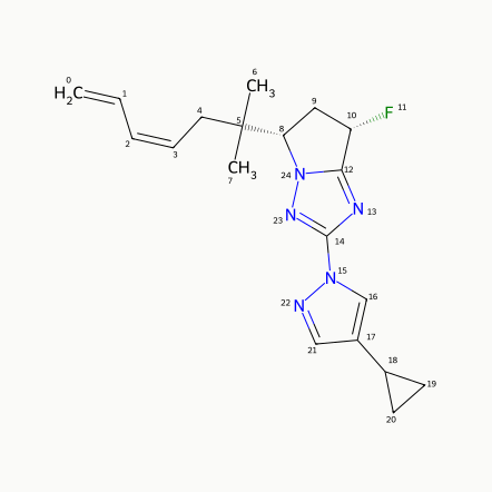 C=C/C=C\CC(C)(C)[C@@H]1C[C@H](F)c2nc(-n3cc(C4CC4)cn3)nn21